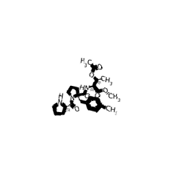 COC(=O)[C@@H](NC(=O)[C@]1(Cc2ccc(C)cc2)CCCN1C(=O)[C@@H]1CCCN1)[C@@H](C)OC(C)=O